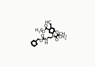 C#Cc1cc2c(cc1C(=O)OC)N(CCNC(=O)OCc1ccccc1)C(=O)C(C)(C)O2